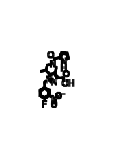 CC1CN(C(=O)c2ccc[nH]2)Cc2c(C(=O)O)nn(Cc3ccc(F)c([N+](=O)[O-])c3)c21